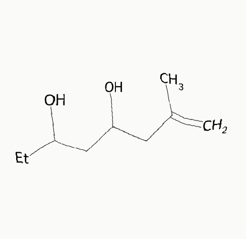 C=C(C)CC(O)CC(O)CC